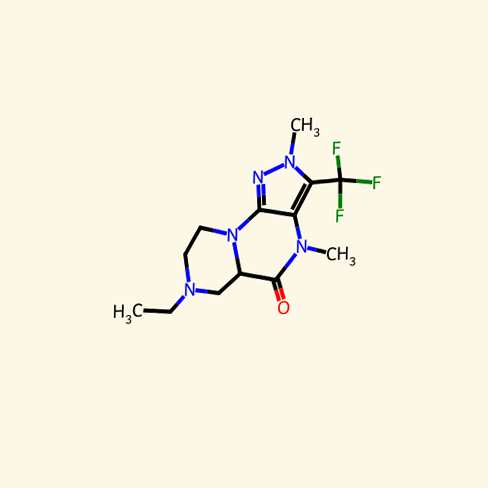 CCN1CCN2c3nn(C)c(C(F)(F)F)c3N(C)C(=O)C2C1